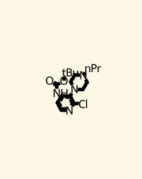 CC(C)(C)OC(N)=O.CCCN1CCN(c2cccnc2Cl)CC1